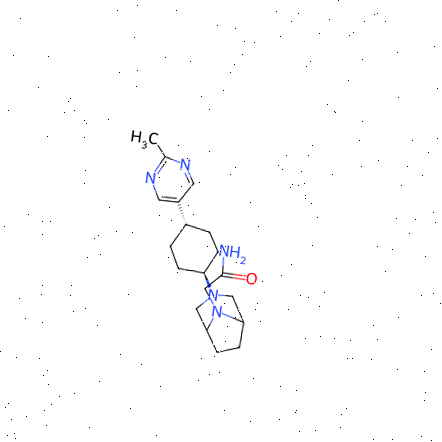 Cc1ncc([C@H]2CC[C@H](N3CC4CCC(C3)N4CC(N)=O)CC2)cn1